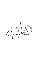 CC1(C)O[C@H]2OCC[C@@]2(C)[C@@]1(C)OC(=O)ON1C(=O)CCC1=O